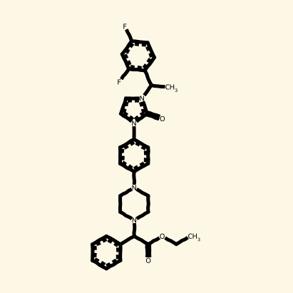 CCOC(=O)C(c1ccccc1)N1CCN(c2ccc(-n3ccn(C(C)c4ccc(F)cc4F)c3=O)cc2)CC1